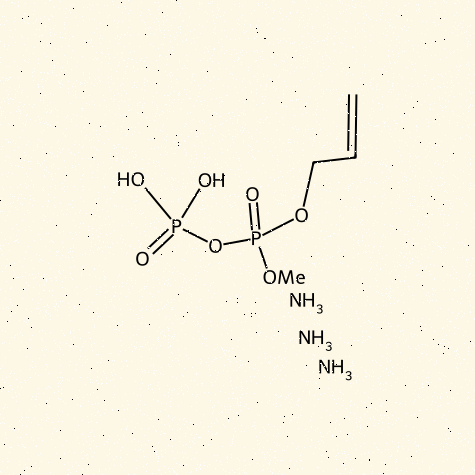 C=CCOP(=O)(OC)OP(=O)(O)O.N.N.N